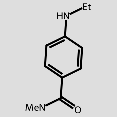 CCNc1ccc(C(=O)NC)cc1